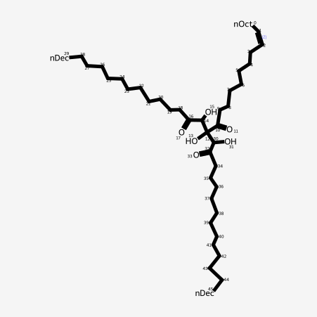 CCCCCCCC/C=C\CCCCCCCC(=O)C(O)(C(O)C(=O)CCCCCCCCCCCCCCCCCCCCC)C(O)C(=O)CCCCCCCCCCCCCCCCCCCCC